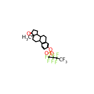 C[C@]12CCC3c4ccc(OS(=O)(=O)C(F)(F)C(F)(F)C(F)(F)C(F)(F)F)cc4CCC3C1CCC2=O